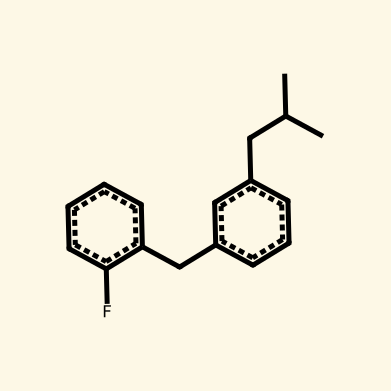 CC(C)Cc1cccc(Cc2ccccc2F)c1